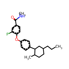 CCCC1CCC(C)C(c2ccc(Oc3ccc(C(=O)NC)cc3F)cc2)C1